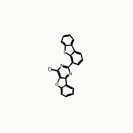 Clc1nc(-c2cccc3c2sc2ccccc23)nc2c1oc1ccccc12